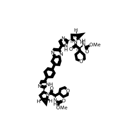 COC(=O)N[C@H](C(=O)N1[C@@H]2C[C@@H]2C[C@H]1c1ncc(-c2ccc(-c3ccc4nc(-c5cnc([C@@H]6C[C@H]7C[C@H]7N6C(=O)[C@@H](NC(=O)OC)C6CCOCC6)[nH]5)cnc4c3)cc2)[nH]1)C1CCOCC1